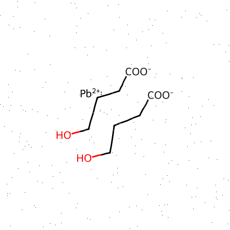 O=C([O-])CCCO.O=C([O-])CCCO.[Pb+2]